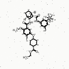 CCOC(=O)[C@H]1CC[C@@H](Oc2cc(C(=O)N[C@@H]3[C@H]4CC[C@H](C4)[C@@H]3C(=O)Nc3cc(F)cc(S(F)(F)(F)(F)F)c3)c(OC)cc2F)CC1